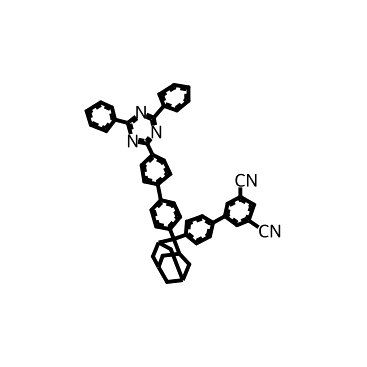 N#Cc1cc(C#N)cc(-c2ccc(C3(c4ccc(-c5ccc(-c6nc(-c7ccccc7)nc(-c7ccccc7)n6)cc5)cc4)C4CC5CC(C4)CC3C5)cc2)c1